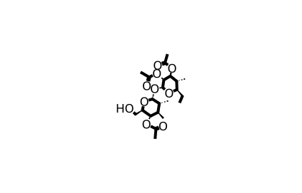 CC[C@H]1O[C@H](O[C@H]2O[C@H](CO)[C@@H](OC(C)=O)[C@H](C)[C@H]2C)[C@H](OC(C)=O)[C@@H](OC(C)=O)[C@@H]1C